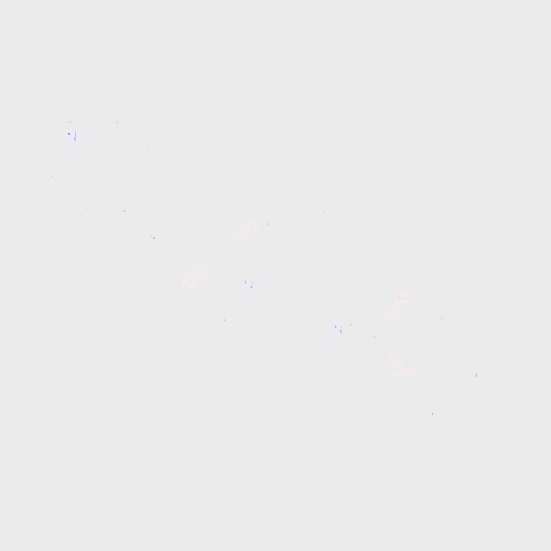 CCC1CN(C(=O)OC(C)(C)C)CCCCN1S(=O)(=O)c1ccc2cnccc2c1